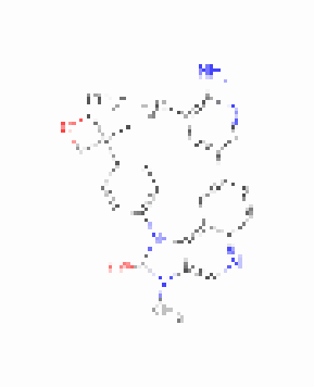 CCOC(=O)CC1(c2ccc(-n3c(=O)n(C)c4cnc5ccc(-c6cnc(N)c(C(F)(F)F)c6)cc5c43)cc2)COC1